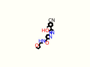 Cc1cc(C#N)ccc1-c1cnn(-c2ccc(C(=O)NCCC3CCCO3)cn2)c1O